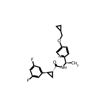 C[C@@H](NC(=O)[C@@H]1C[C@H]1c1cc(F)cc(F)c1)c1ccc(OCC2CC2)cn1